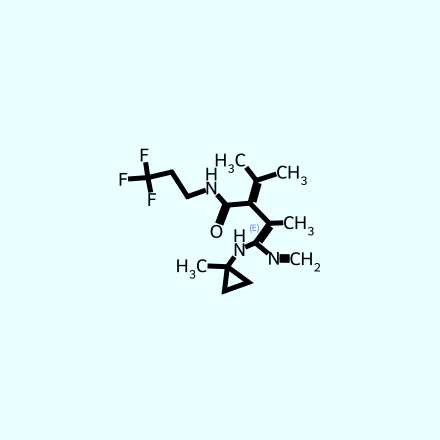 C=N/C(NC1(C)CC1)=C(\C)C(C(=O)NCCC(F)(F)F)=C(C)C